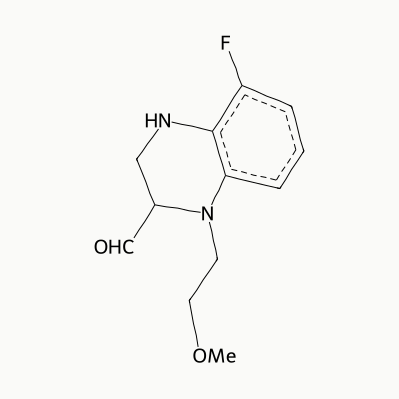 COCCN1c2cccc(F)c2NCC1C=O